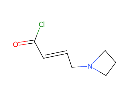 O=C(Cl)C=CCN1CCC1